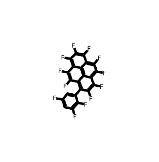 Fc1cc(F)c(F)c(-c2c(F)c(F)c3c(F)c(F)c4c(F)c(F)c(F)c5c(F)c(F)c2c3c45)c1